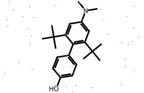 CN(C)c1cc(C(C)(C)C)c(-c2ccc(O)cc2)c(C(C)(C)C)c1